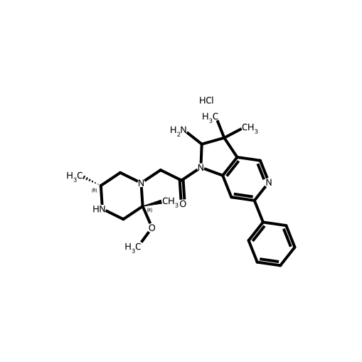 CO[C@]1(C)CN[C@H](C)CN1CC(=O)N1c2cc(-c3ccccc3)ncc2C(C)(C)C1N.Cl